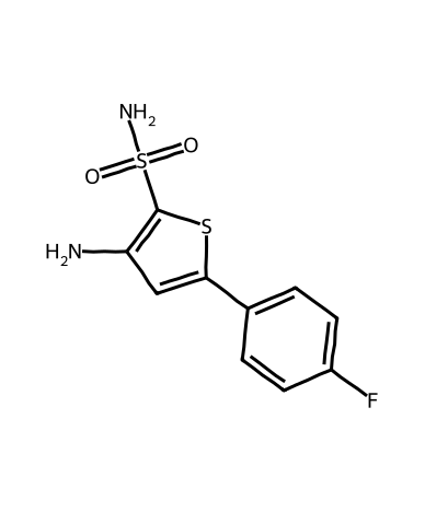 Nc1cc(-c2ccc(F)cc2)sc1S(N)(=O)=O